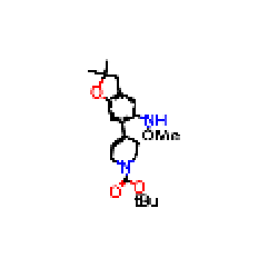 CONc1cc2c(cc1C1=CCN(C(=O)OC(C)(C)C)CC1)OC(C)(C)C2